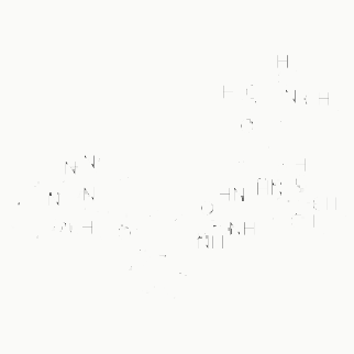 C[C@@H](CN(C)C)Oc1cccc(N/C(=C\C(=N)C(C)(C)C)NC(=O)N[C@H]2CC[C@@H](Oc3ccc4nnc(N5CCCC[C@@H]5C)n4c3)c3ccccc32)c1